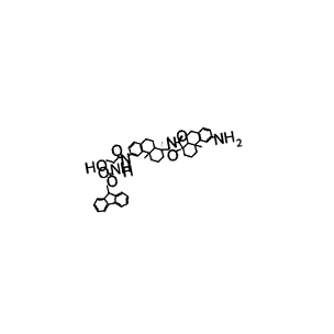 CN(C(=O)[C@@]1(C)CCCC2(C)c3cc(N)ccc3CCC21)C(=O)[C@@]1(C)CCCC2(C)c3cc(NC(=O)C(CO)NC(=O)OCC4c5ccccc5-c5ccccc54)ccc3CCC21